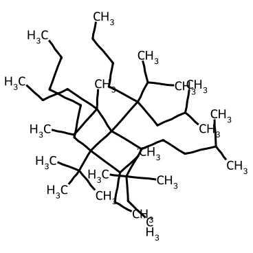 CCCCCC(C(C)CC)(C(C)(C)C)C([C](CCC(C)C)C(C)(C)CC)(C(C)(CC)CCC)C(CCCC)(CC(C)C)C(C)C